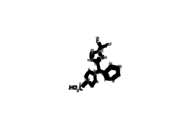 O=C(O)N1CCN(C(c2ccccc2)c2nnn(C(F)F)n2)CC1